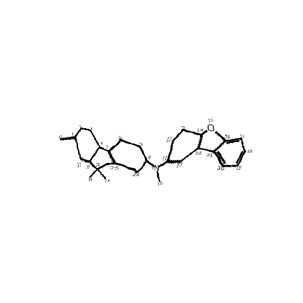 CC1CCC2C3CCC(N(C)C4CCC5Oc6ccccc6C5C4)CC3C(C)(C)C2C1